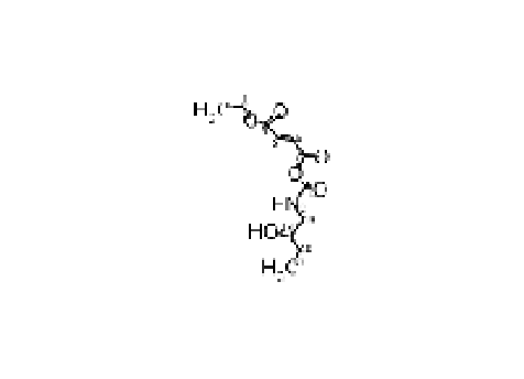 CCOC(=O)C=CC(=O)OC(=O)NCC(O)CC